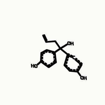 C=CCC(O)(c1ccc(O)cc1)c1ccc(O)cc1